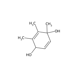 CC1=C(C)C(C)(O)C=CC1O